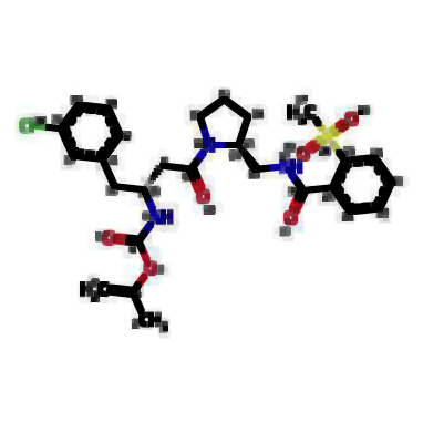 C=C(C)OC(=O)N[C@@H](CC(=O)N1CCC[C@H]1CNC(=O)c1ccccc1S(C)(=O)=O)Cc1cccc(Cl)c1